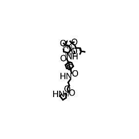 CO[C@H]1[C@H](C2(C)OC2CC=C(C)C)[C@]2(CC[C@H]1NC(=O)C13CCC(C(=O)NCCCOC(=O)[C@@H]4CCCN4)(CC1)CC3)CO2